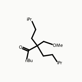 [CH2]CCCC(=O)C(CCC(C)C)(CCC(C)C)COC